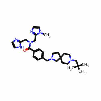 Cn1ccnc1CN(Cc1ncc[nH]1)C(=O)c1ccc(CN2CCC3(CCN(CC(C)(C)C)CC3)C2)cc1